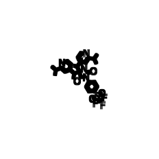 CC(C)c1cc(C(C)C2(C(C)c3ccnc(C(C)C)c3)NC(=O)N(c3ccc(S(=O)(=O)C(F)(F)F)cc3)C2=O)ccn1